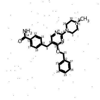 CN1CCN(c2ncc(Cc3ccc(C(N)=O)cc3)c(OCc3ccccc3)n2)CC1